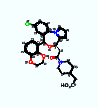 O=C(O)CC1CCN(C(=O)C[C@@H]2O[C@@H](c3cccc4c3OCCO4)c3cc(Cl)ccc3-n3cccc32)CC1